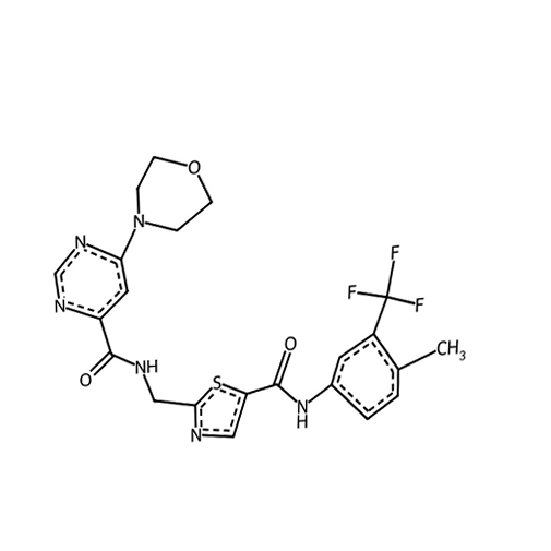 Cc1ccc(NC(=O)c2cnc(CNC(=O)c3cc(N4CCOCC4)ncn3)s2)cc1C(F)(F)F